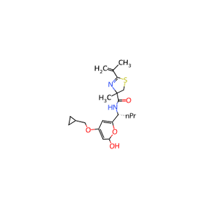 C=C(C)C1=NC(C)(C(=O)N[C@H](CCC)C2=CC(OCC3CC3)=CC(O)O2)CS1